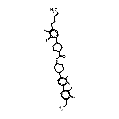 CCCCCc1ccc(C2CCC(C(=O)OC3CCC(c4ccc(-c5ccc(CC)c(F)c5F)c(F)c4F)CC3)CC2)c(F)c1F